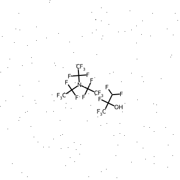 FC(F)(F)C(F)(F)N(C(F)(F)C(F)(F)F)C(F)(F)C(F)(F)F.OC(F)(C(F)F)C(F)(F)F